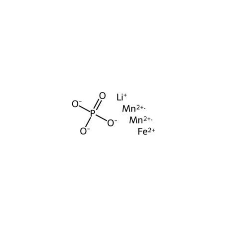 O=P([O-])([O-])[O-].[Fe+2].[Li+].[Mn+2].[Mn+2]